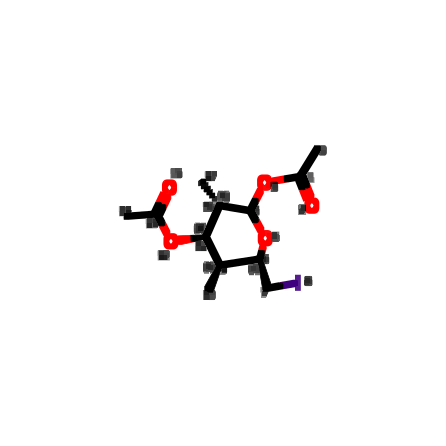 CC(=O)OC1O[C@@H](CI)[C@@H](C)[C@@H](OC(C)=O)[C@@H]1C